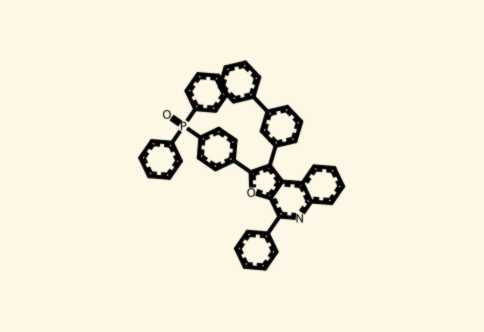 O=P(c1ccccc1)(c1ccccc1)c1ccc(-c2oc3c(-c4ccccc4)nc4ccccc4c3c2-c2cccc(-c3ccccc3)c2)cc1